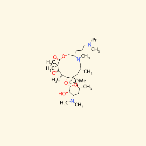 CO[C@]1(C)C[C@@H](C)CN(C)[C@@H](CCCN(C)C(C)C)COC(=O)C(C)(C)C(=O)[C@H](C)[C@H]1O[C@@H]1O[C@H](C)C[C@H](N(C)C)[C@H]1O